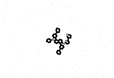 c1ccc(-c2ccc3c(c2)c2c4ccc5c(c4ccc2n3-c2ccccc2)c2cc(-c3ccccc3)ccc2n5-c2cccc(-c3cccnc3)n2)cc1